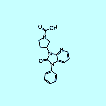 O=C(O)N1CCC(n2c(=O)n(-c3ccccc3)c3cccnc32)C1